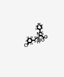 O=C(O)c1sc(-c2ccncc2)nc1NCCc1cccc(Cl)c1